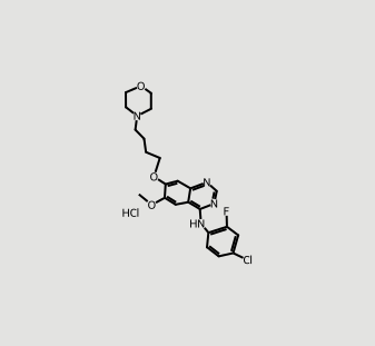 COc1cc2c(Nc3ccc(Cl)cc3F)ncnc2cc1OCCCCN1CCOCC1.Cl